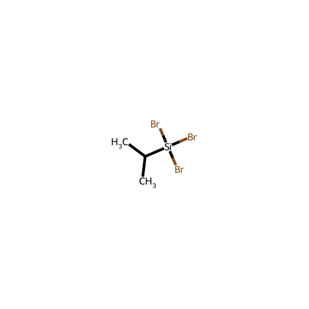 CC(C)[Si](Br)(Br)Br